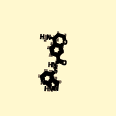 N[C@H]1CCOc2cc(C(=O)NSc3ccnc4[nH]ncc34)ccc21